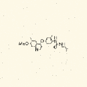 COc1cc2nccc(Oc3ccc(NC(=O)NCCF)c(C)c3)c2cc1C